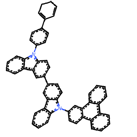 C1=CC(c2ccc(-n3c4ccccc4c4cc(-c5ccc6c(c5)c5ccccc5n6-c5ccc6c7ccccc7c7ccccc7c6c5)ccc43)cc2)=CCC1